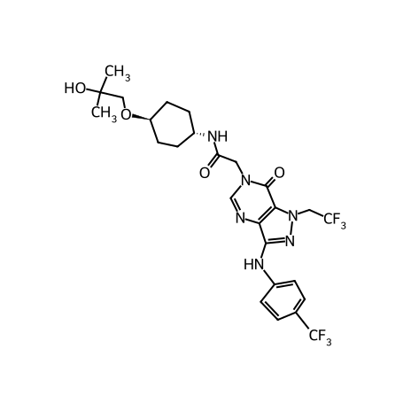 CC(C)(O)CO[C@H]1CC[C@H](NC(=O)Cn2cnc3c(Nc4ccc(C(F)(F)F)cc4)nn(CC(F)(F)F)c3c2=O)CC1